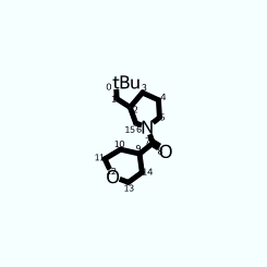 CC(C)(C)CC1CCCN(C(=O)C2CCOCC2)C1